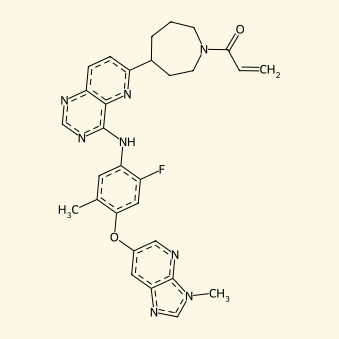 C=CC(=O)N1CCCC(c2ccc3ncnc(Nc4cc(C)c(Oc5cnc6c(c5)ncn6C)cc4F)c3n2)CC1